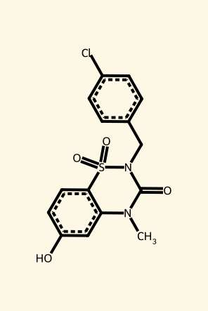 CN1C(=O)N(Cc2ccc(Cl)cc2)S(=O)(=O)c2ccc(O)cc21